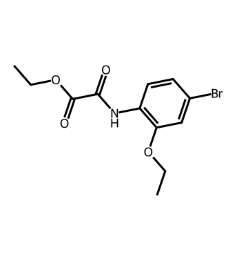 CCOC(=O)C(=O)Nc1ccc(Br)cc1OCC